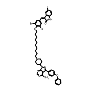 Nc1ncnc2c1c(-c1ccc(Oc3ccccc3)cc1)nn2C1CCN(CCCCCCCCCCOc2c(Br)cc(C=C3C(=O)Nc4ccc(I)cc43)cc2Br)CC1